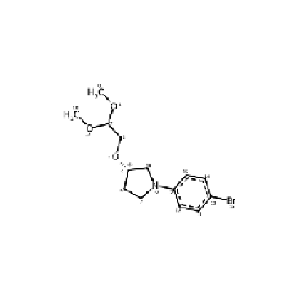 COC(CO[C@H]1CCN(c2ccc(Br)cc2)C1)OC